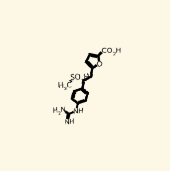 CS(=O)(=O)O.N=C(N)Nc1ccc(CCc2ccc(C(=O)O)o2)cc1